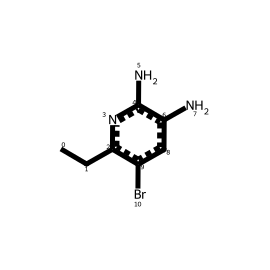 CCc1nc(N)c(N)cc1Br